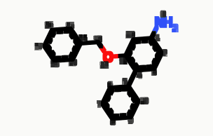 Nc1ccc(-c2ccccc2)c(OCc2ccccc2)c1